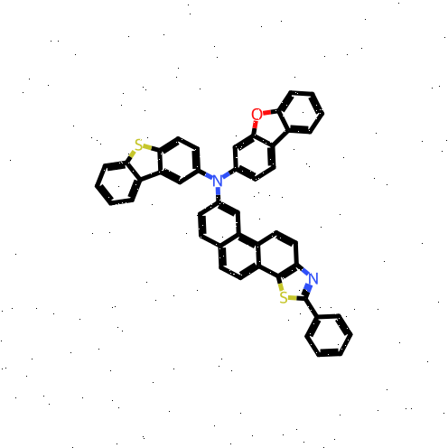 c1ccc(-c2nc3ccc4c5cc(N(c6ccc7c(c6)oc6ccccc67)c6ccc7sc8ccccc8c7c6)ccc5ccc4c3s2)cc1